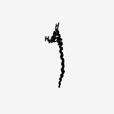 CCCCCCCCCCCCCCCCCCSCC(O)Cc1c[nH]nc1N